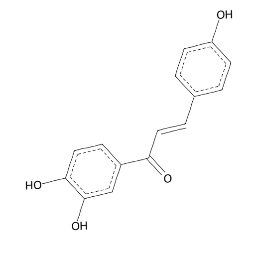 O=C(/C=C/c1ccc(O)cc1)c1ccc(O)c(O)c1